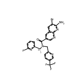 C[C@H](c1cccc(F)n1)N(Cc1ccc(C(F)(F)F)cn1)C(=O)c1cnc2nc(N)c(Br)cc2c1